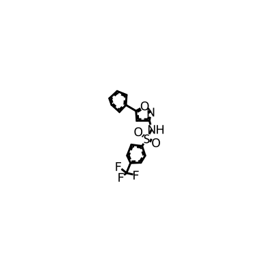 O=S(=O)(Nc1cc(-c2ccccc2)on1)c1ccc(C(F)(F)F)cc1